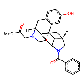 COC(=O)CN1CC[C@@]23c4cc(O)ccc4C[C@@H]1[C@]21CCC2C3[C@@H](CN2C(=O)c2ccccc2)C1